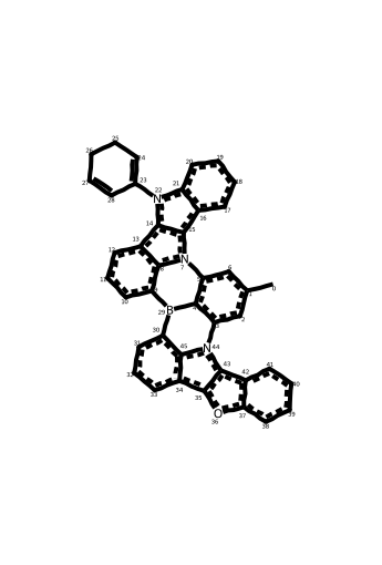 Cc1cc2c3c(c1)-n1c4c(cccc4c4c1c1ccccc1n4C1=CCCC=C1)B3c1cccc3c4oc5ccccc5c4n-2c13